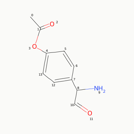 CC(=O)Oc1ccc(C(N)[C]=O)cc1